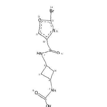 O=C(O)NC1CC(NC(=O)c2coc(Br)n2)C1